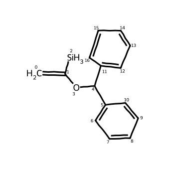 C=C([SiH3])OC(c1ccccc1)c1ccccc1